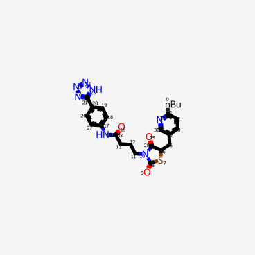 CCCCc1ccc(CC2SC(=O)N(CCCC(=O)Nc3ccc(-c4nnn[nH]4)cc3)C2=O)cn1